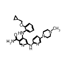 CN1CCN(c2ccc(Nc3cc(Nc4ccccc4OCC4CC4)c(C(N)=O)cn3)nc2)CC1